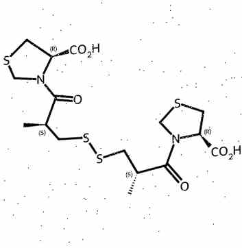 C[C@H](CSSC[C@@H](C)C(=O)N1CSC[C@H]1C(=O)O)C(=O)N1CSC[C@H]1C(=O)O